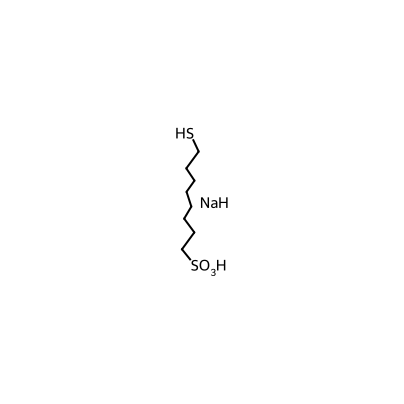 O=S(=O)(O)CCCCCCCCS.[NaH]